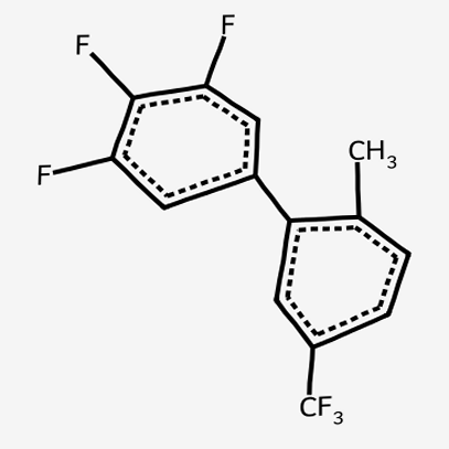 Cc1ccc(C(F)(F)F)cc1-c1cc(F)c(F)c(F)c1